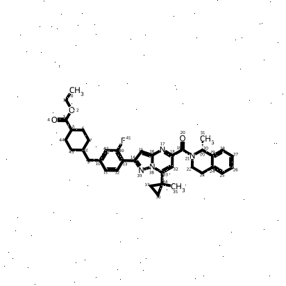 CCOC(=O)C1CCC(Cc2ccc(-c3cc4nc(C(=O)N5CCc6ccccc6[C@H]5C)cc(C5(C)CC5)n4n3)c(F)c2)CC1